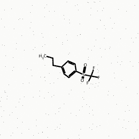 CCCc1ccc(S(=O)(=O)C(F)(F)F)cc1